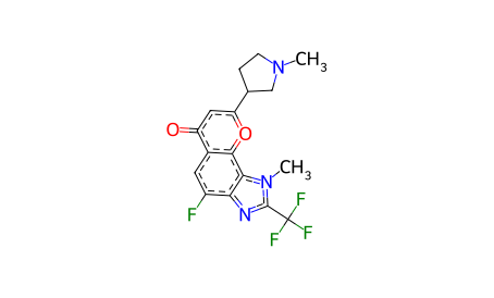 CN1CCC(c2cc(=O)c3cc(F)c4nc(C(F)(F)F)n(C)c4c3o2)C1